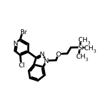 C[Si](C)(C)CCOCn1nc(-c2cc(Br)ncc2Cl)c2ccccc21